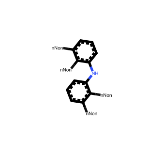 CCCCCCCCCc1cccc(Nc2cccc(CCCCCCCCC)c2CCCCCCCCC)c1CCCCCCCCC